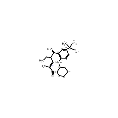 C=C(C(/C=C(\C)C#N)=C/C)c1cc(C(C)(C)C)ccc1NC1CCCCC1